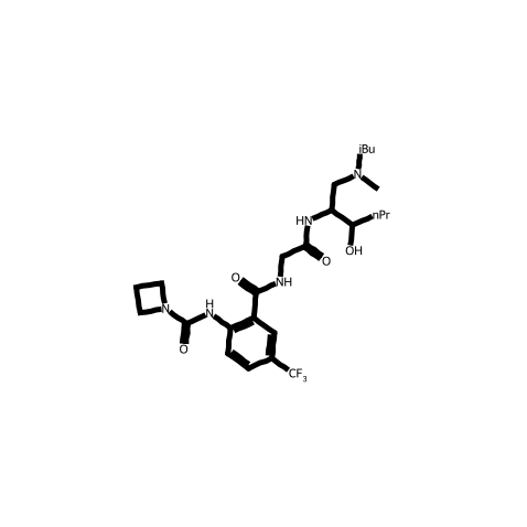 CCCC(O)C(CN(C)C(C)CC)NC(=O)CNC(=O)c1cc(C(F)(F)F)ccc1NC(=O)N1CCC1